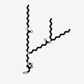 CCCCCCCCCOC(=O)CCCCCCCN(CCCCCCCC(=O)OC(CCCCCCCC)CCCCCCCC)CCCn1cc(CO)nn1